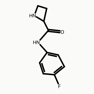 O=C(Nc1ccc(F)cc1)C1CCN1